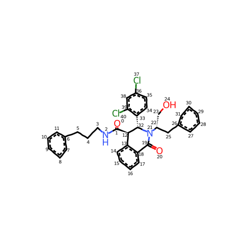 O=C(NCCCc1ccccc1)[C@@H]1c2ccccc2C(=O)N([C@H](CO)Cc2ccccc2)[C@H]1c1ccc(Cl)cc1Cl